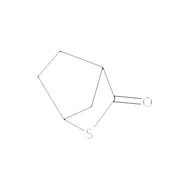 O=C1SC2CCC1C2